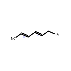 CCCC/C=C/C=C/C#N